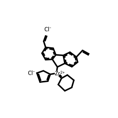 C=Cc1ccc2c(c1)-c1cc(C=C)ccc1[CH]2[Zr+2]([C]1=CC=CC1)=[C]1CCCCC1.[Cl-].[Cl-]